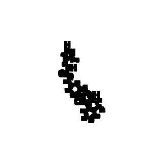 Cc1n[nH]cc1CNC(=O)OCC1CCc2c(sc(NC(=O)CC(C)c3ccccc3)c2C#N)C1